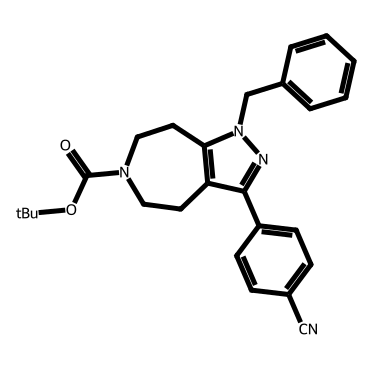 CC(C)(C)OC(=O)N1CCc2c(-c3ccc(C#N)cc3)nn(Cc3ccccc3)c2CC1